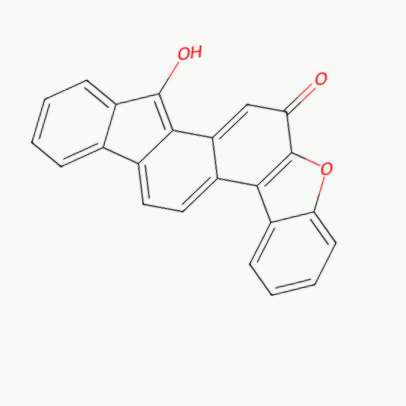 O=C1C=c2c(ccc3c2=C(O)c2ccccc2-3)-c2c1oc1ccccc21